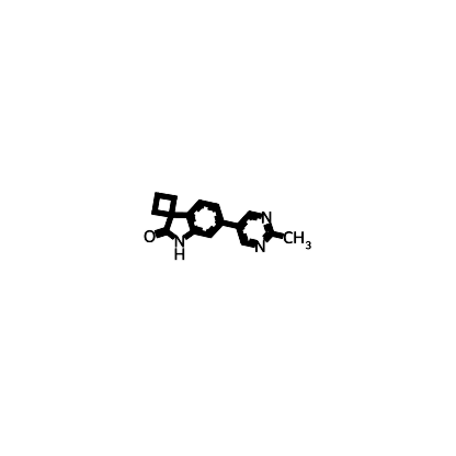 Cc1ncc(-c2ccc3c(c2)NC(=O)C32CCC2)cn1